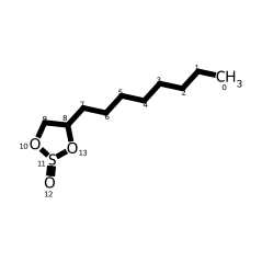 CCCCCCCCC1COS(=O)O1